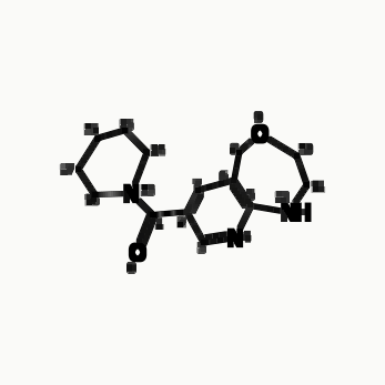 O=C(c1cnc2c(c1)COCCN2)N1CCCCC1